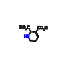 O=C(O)C1=CC=CNC1C(=O)O